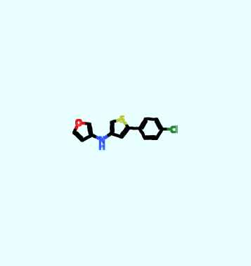 Clc1ccc(-c2cc(Nc3ccoc3)cs2)cc1